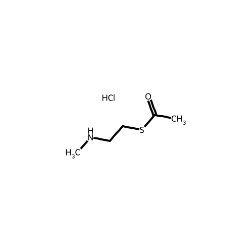 CNCCSC(C)=O.Cl